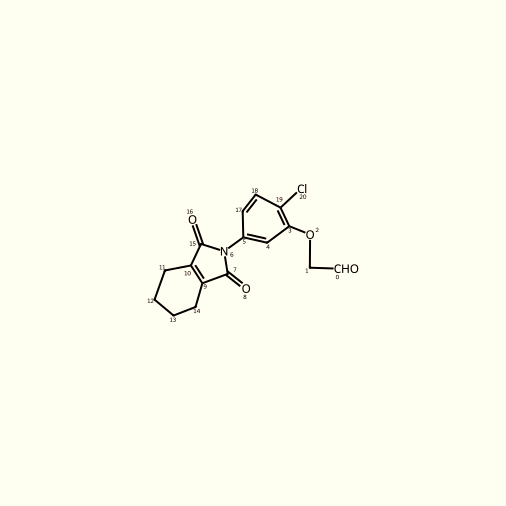 O=CCOc1cc(N2C(=O)C3=C(CCCC3)C2=O)ccc1Cl